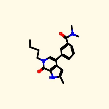 CCCCn1cc(-c2cccc(C(=O)N(C)C)c2)c2cc(C)[nH]c2c1=O